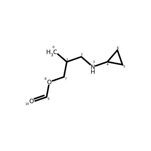 CC(CNC1CC1)COC=O